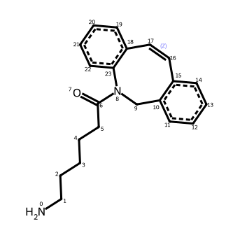 NCCCCCC(=O)N1Cc2ccccc2/C=C\c2ccccc21